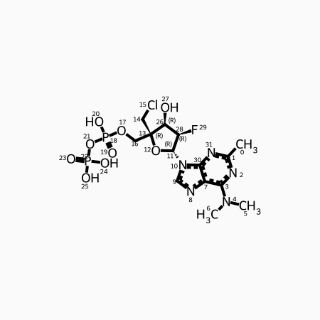 Cc1nc(N(C)C)c2ncn([C@@H]3O[C@](CCl)(COP(=O)(O)OP(=O)(O)O)[C@@H](O)[C@H]3F)c2n1